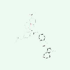 Cn1cc(C(=O)Nc2cc(F)c(CC(=O)C(OC3CCC(C(=O)O)CC3)(N3CCCC3)N3CCN(CC(F)(F)F)CC3)cc2Cl)c2ccccc21